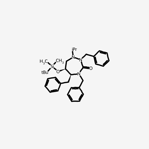 CC(C)N1C[C@H](O[Si](C)(C)C(C)(C)C)[C@H](Cc2ccccc2)N(Cc2ccccc2)C(=O)N1Cc1ccccc1